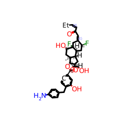 CC/C=C\C(=O)/C=C1\C[C@@]2(F)[C@@H](O)C[C@@]3(C)[C@@H](C[C@H]4O[C@@H](c5ccc(Cc6ccc(N)cc6)c(O)c5)O[C@]43C(=O)CO)[C@@H]2C[C@@H]1F